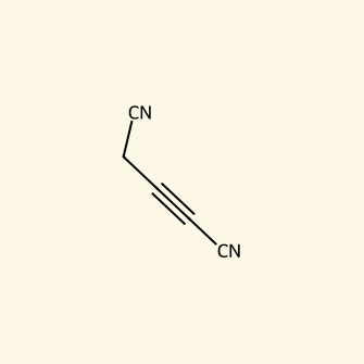 N#CC#CCC#N